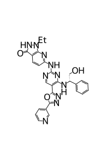 CCn1[nH]c(=O)c2ccc(Nc3ncc(-c4nnc(-c5cccnc5)o4)c(N[C@H](CO)c4ccccc4)n3)nc21